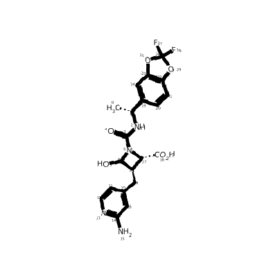 C[C@@H](NC(=O)N1C(O)[C@H](Cc2ccnc(N)c2)[C@H]1C(=O)O)c1ccc2c(c1)OC(F)(F)O2